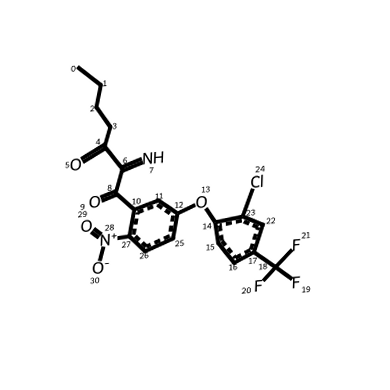 CCCCC(=O)C(=N)C(=O)c1cc(Oc2ccc(C(F)(F)F)cc2Cl)ccc1[N+](=O)[O-]